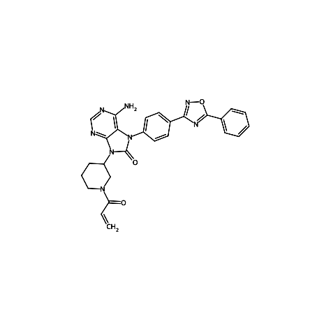 C=CC(=O)N1CCCC(n2c(=O)n(-c3ccc(-c4noc(-c5ccccc5)n4)cc3)c3c(N)ncnc32)C1